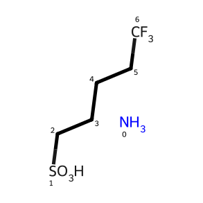 N.O=S(=O)(O)CCCCC(F)(F)F